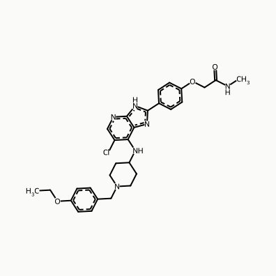 CCOc1ccc(CN2CCC(Nc3c(Cl)cnc4[nH]c(-c5ccc(OCC(=O)NC)cc5)nc34)CC2)cc1